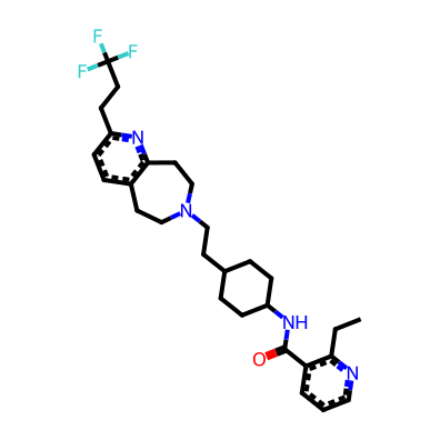 CCc1ncccc1C(=O)NC1CCC(CCN2CCc3ccc(CCC(F)(F)F)nc3CC2)CC1